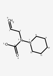 C=CCN(C([O])=O)N1CCCCC1